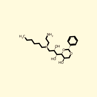 CCCCCCN(CCN)C[C@H](O)[C@@H](O)[C@@H]1O[C@H](c2ccccc2)OC[C@H]1O